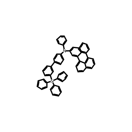 c1ccc(-c2cccc3cccc(-c4cccc(N(c5ccccc5)c5ccc(-c6cccc([Si](c7ccccc7)(c7ccccc7)c7ccccc7)c6)cc5)c4)c23)cc1